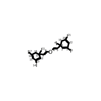 IC1=CC(I)(C=COC=CC2(I)C=C(I)C=C(I)C2)CC(I)=C1